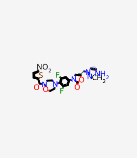 C=NN(/C=C\N)C[C@H]1CN(c2cc(F)c(N3CCON(C(=O)c4ccc([N+](=O)[O-])s4)CC3)c(F)c2)C(=O)O1